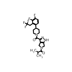 CC(C)C(=O)N1Cc2[nH]nc(C(=O)N3CCC(c4ccc(F)c(F)c4CC(F)(F)F)CC3)c2C1